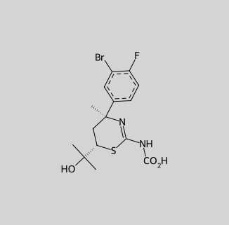 CC(C)(O)[C@@H]1C[C@@](C)(c2ccc(F)c(Br)c2)N=C(NC(=O)O)S1